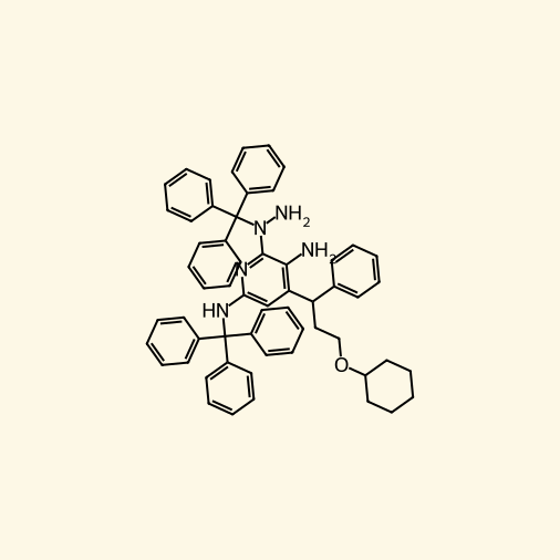 Nc1c(C(CCOC2CCCCC2)c2ccccc2)cc(NC(c2ccccc2)(c2ccccc2)c2ccccc2)nc1N(N)C(c1ccccc1)(c1ccccc1)c1ccccc1